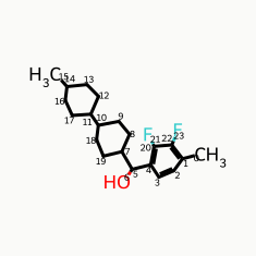 Cc1ccc(C(O)C2CCC(C3CCC(C)CC3)CC2)c(F)c1F